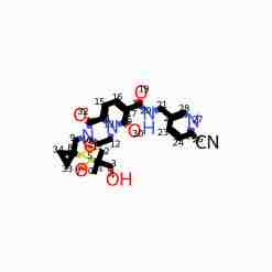 CC(C)(CO)S(=O)(=O)C1(CN2CCn3c(ccc(C(=O)NCc4ccc(C#N)nc4)c3=O)C2=O)CC1